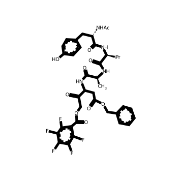 CC(=O)N[C@@H](Cc1ccc(O)cc1)C(=O)N[C@H](C(=O)N[C@@H](C)C(=O)NC(CC(=O)OCc1ccccc1)C(=O)COC(=O)c1c(F)c(F)c(F)c(F)c1F)C(C)C